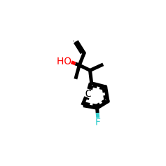 [CH]=CC(C)(O)C(C)c1ccc(F)cc1